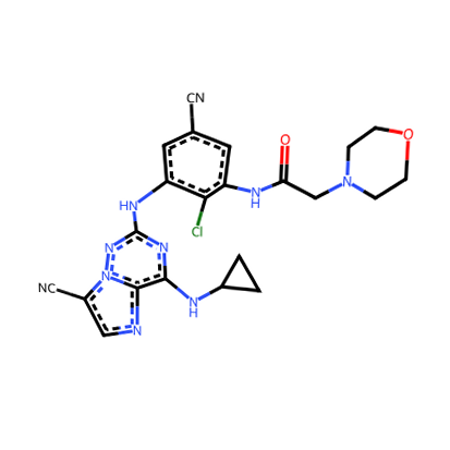 N#Cc1cc(NC(=O)CN2CCOCC2)c(Cl)c(Nc2nc(NC3CC3)c3ncc(C#N)n3n2)c1